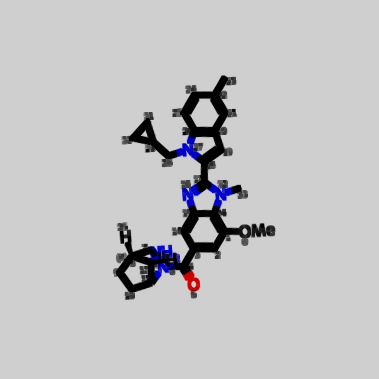 COc1cc(C(=O)N2C[C@H]3CCC2[C@H]3N)cc2nc(-c3cc4cc(C)ccc4n3CC3CC3)n(C)c12